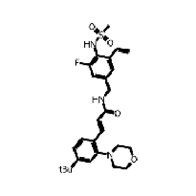 C=Cc1cc(CNC(=O)C=Cc2ccc(C(C)(C)C)cc2N2CCOCC2)cc(F)c1NS(C)(=O)=O